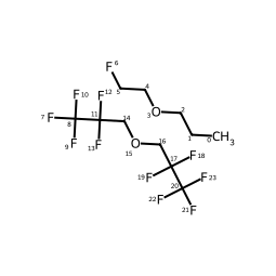 CCCOCCF.FC(F)(F)C(F)(F)COCC(F)(F)C(F)(F)F